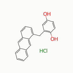 Cl.Oc1ccc(O)c(Cc2cccc3cc4ccccc4cc23)c1